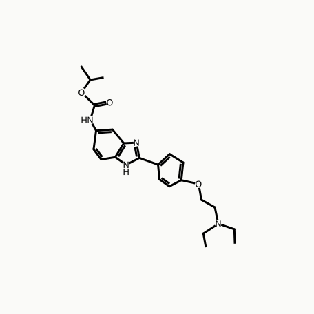 CCN(CC)CCOc1ccc(-c2nc3cc(NC(=O)OC(C)C)ccc3[nH]2)cc1